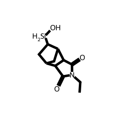 CCN1C(=O)C2C3CC([SiH2]O)C(C3)C2C1=O